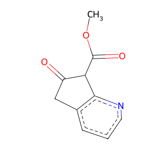 COC(=O)C1C(=O)Cc2cccnc21